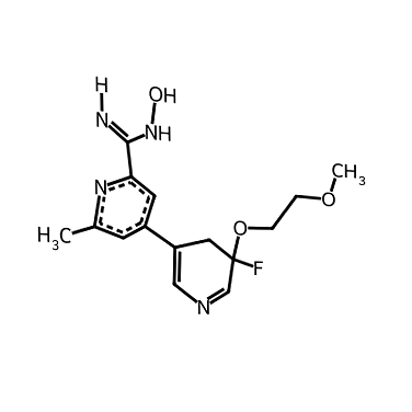 [H]/N=C(\NO)c1cc(C2=CN=CC(F)(OCCOC)C2)cc(C)n1